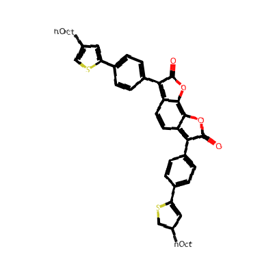 CCCCCCCCc1csc(-c2ccc(C3=c4ccc5c(c4OC3=O)OC(=O)C=5c3ccc(C4=CC(CCCCCCCC)CS4)cc3)cc2)c1